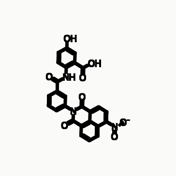 O=C(Nc1ccc(O)cc1C(=O)O)c1cccc(N2C(=O)c3cccc4c([N+](=O)[O-])ccc(c34)C2=O)c1